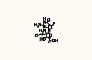 C[C@H](O)[C@H]1O[C@@H](n2cc(F)c3c(=O)[nH]c(N)nc32)C(N)(C#CCl)C1O